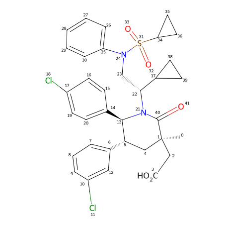 C[C@]1(CC(=O)O)C[C@H](c2cccc(Cl)c2)[C@@H](c2ccc(Cl)cc2)N([C@H](CN(c2ccccc2)S(=O)(=O)C2CC2)C2CC2)C1=O